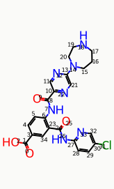 O=C(O)c1ccc(NC(=O)c2cnc(N3CCCNCC3)cn2)c(C(=O)Nc2ccc(Cl)cn2)c1